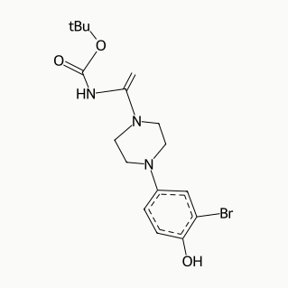 C=C(NC(=O)OC(C)(C)C)N1CCN(c2ccc(O)c(Br)c2)CC1